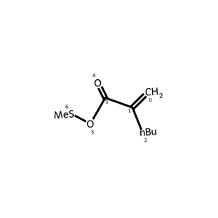 C=C(CCCC)C(=O)OSC